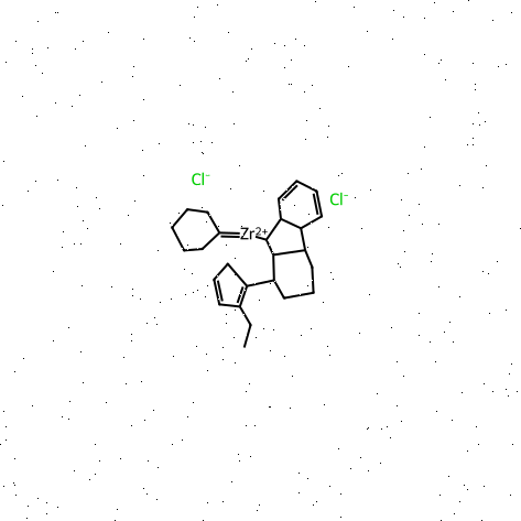 CCC1=C(C2CCCC3C4C=CC=CC4[CH]([Zr+2]=[C]4CCCCC4)C23)CC=C1.[Cl-].[Cl-]